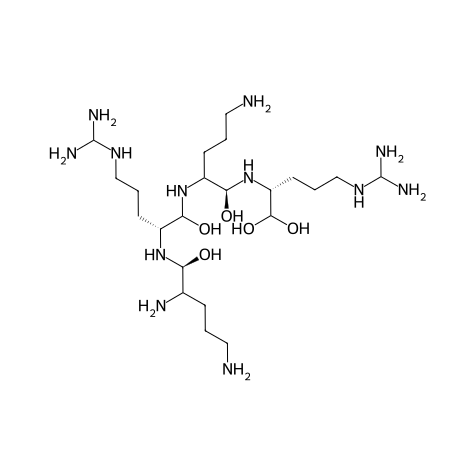 NCCCC(N)[C@H](O)N[C@H](CCCNC(N)N)C(O)NC(CCCN)[C@H](O)N[C@H](CCCNC(N)N)C(O)O